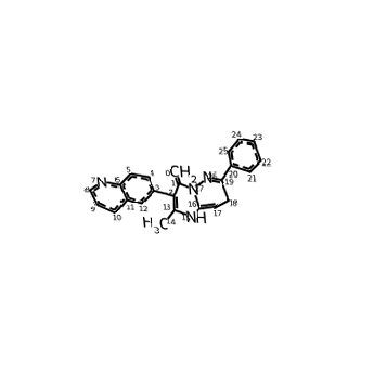 C=C1C(c2ccc3ncccc3c2)=C(C)NC2=CCC(c3ccccc3)=NN12